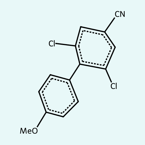 COc1ccc(-c2c(Cl)cc(C#N)cc2Cl)cc1